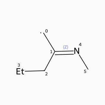 [CH2]/C(CCC)=N/C